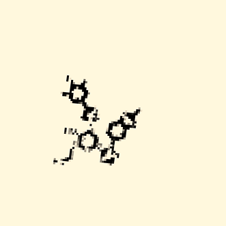 Cc1nc2ccc(-n3ncnc3[C@H]3C[C@@H](n4cc(-c5cc(F)c(F)c(F)c5)nn4)[C@@H](O)[C@@H](CCO)O3)cc2s1